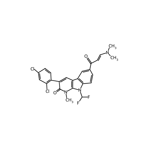 CN(C)/C=C/C(=O)c1ccc2c(c1)c1cc(-c3ccc(Cl)cc3Cl)c(=O)n(C)c1n2C(F)F